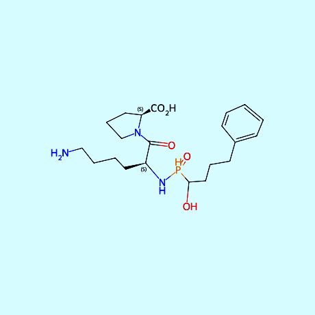 NCCCC[C@H](N[PH](=O)C(O)CCCc1ccccc1)C(=O)N1CCC[C@H]1C(=O)O